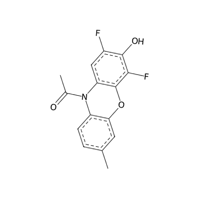 CC(=O)N1c2ccc(C)cc2Oc2c1cc(F)c(O)c2F